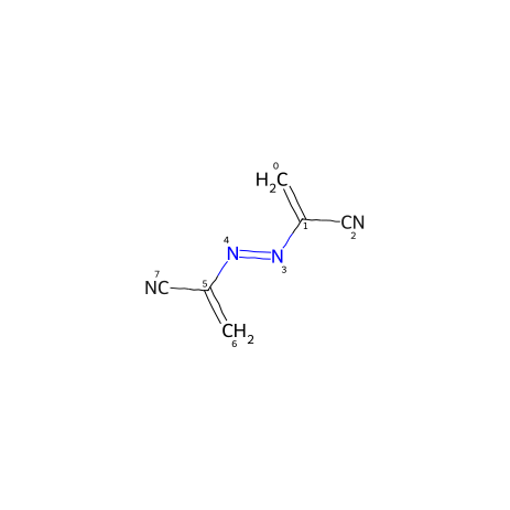 C=C(C#N)N=NC(=C)C#N